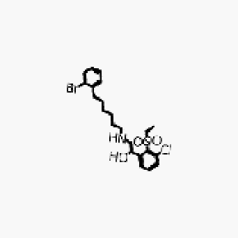 CCS(=O)(=O)c1c(Cl)cccc1C(O)CNCCCCCCc1ccccc1Br